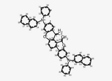 C=C1c2ccc(N(c3ccccc3)c3ccc4ccccc4c3)cc2Oc2ccc3c(c21)C(=C)Oc1cc(N(c2ccccc2)c2ccc4ccccc4c2)ccc1-3